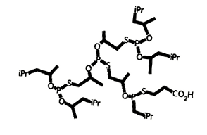 CC(C)CC(C)OP(OC(C)CC(C)C)SCC(C)OP(OC(C)CSP(OC(C)CC(C)C)OC(C)CC(C)C)SCC(C)OP(CC(C)C)SCCC(=O)O